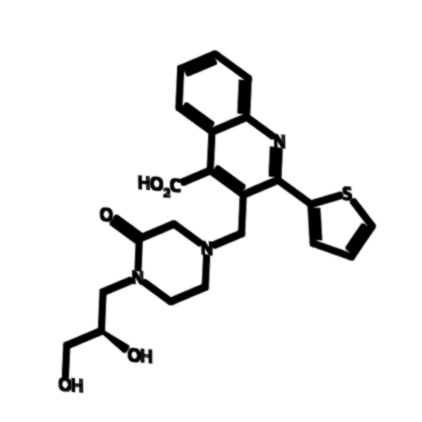 O=C(O)c1c(CN2CCN(C[C@@H](O)CO)C(=O)C2)c(-c2cccs2)nc2ccccc12